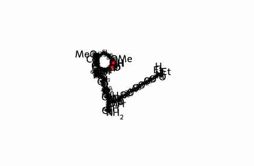 CCC(CC)C(=O)NCCOCCOCCOCCOCCOCCOCCC(=O)N[C@H](C(=O)N[C@@H](CCCNC(N)=O)C(=O)Nc1ccc(COC(=O)N(C)CCC(=O)N(C)[C@@H](C)C(=O)O[C@@H]2CC(=O)N(C)c3cc(cc(OC)c3Cl)C/C(C)=C/C=C/[C@@H](OC)[C@@]3(O)C[C@H](OC(=O)N3)[C@@H](C)[C@@H]3O[C@H]32)cc1)C(C)C